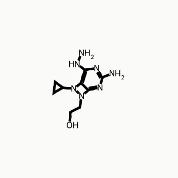 NNc1nc(N)nc2c1n(C1CC1)n2CCO